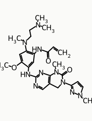 C=CC(=O)Nc1cc(Nc2ncc3c(n2)N(C)C(=O)N(c2ccn(C)n2)C3)c(OC)cc1N(C)CCN(C)C